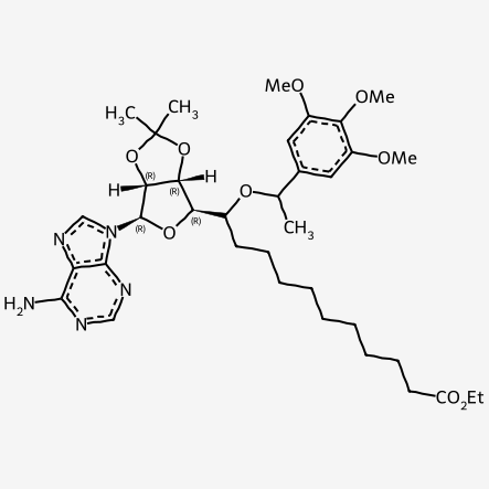 CCOC(=O)CCCCCCCCCC(OC(C)c1cc(OC)c(OC)c(OC)c1)[C@H]1O[C@@H](n2cnc3c(N)ncnc32)[C@@H]2OC(C)(C)O[C@@H]21